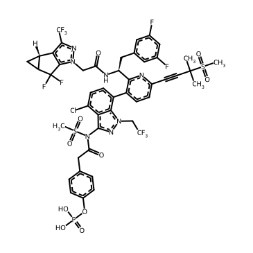 CC(C)(C#Cc1ccc(-c2ccc(Cl)c3c(N(C(=O)Cc4ccc(OP(=O)(O)O)cc4)S(C)(=O)=O)nn(CC(F)(F)F)c23)c([C@H](Cc2cc(F)cc(F)c2)NC(=O)Cn2nc(C(F)(F)F)c3c2C(F)(F)C2C[C@H]32)n1)S(C)(=O)=O